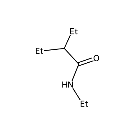 CCNC(=O)C(CC)CC